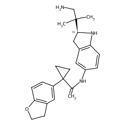 C=C(Nc1ccc2c(c1)C[C@@H](C(C)(C)CN)N2)C1(c2ccc3c(c2)CCO3)CC1